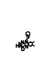 C=c1nc2c(c(=O)[nH]1)=Nc1cc(C)c(C)cc1N2CCN1CCCCC1